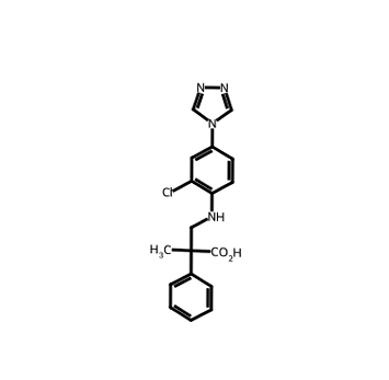 CC(CNc1ccc(-n2cnnc2)cc1Cl)(C(=O)O)c1ccccc1